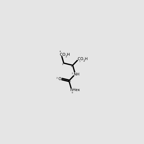 CCCCCCC(=O)NC(CC(=O)O)C(=O)O